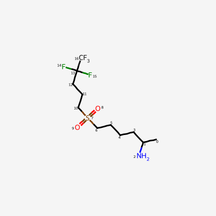 CC(N)CCCCS(=O)(=O)CCCC(F)(F)C(F)(F)F